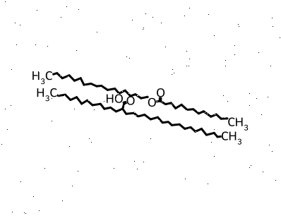 CCCCCCCCCCCCCCCCCCC(CCCCCCCCCCCC)C(=O)O.CCCCCCCCCCCCCCCCCCOC(=O)CCCCCCCCCCCCC